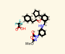 COc1nn(-c2cccc(NCc3cccc(C4CCCC4)c3OCCc3ccccc3)c2)c(=O)o1.O=C(O)C(F)(F)F